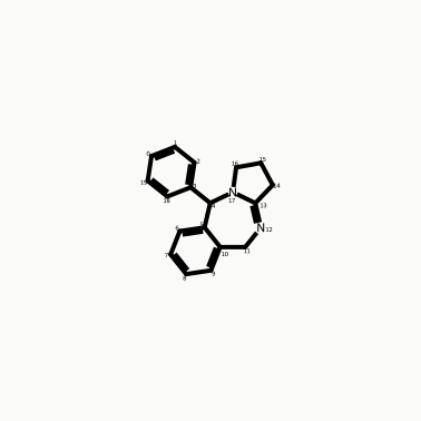 c1ccc(C2c3ccccc3CN=C3CCCN32)cc1